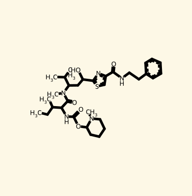 CCC(C)C(NC(=O)OC1CCCCN1C)C(=O)N(C)C(CC(O)c1nc(C(=O)NCCc2ccccc2)cs1)C(C)C